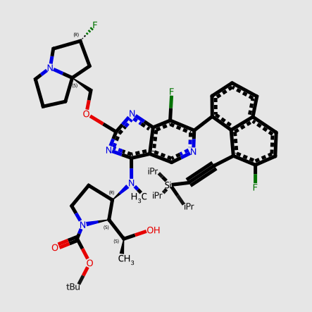 CC(C)[Si](C#Cc1c(F)ccc2cccc(-c3ncc4c(N(C)[C@@H]5CCN(C(=O)OC(C)(C)C)[C@@H]5[C@H](C)O)nc(OC[C@@]56CCCN5C[C@H](F)C6)nc4c3F)c12)(C(C)C)C(C)C